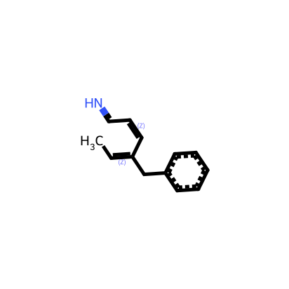 C/C=C(\C=C/C=N)Cc1ccccc1